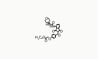 CCOC(=O)COc1ccc(C(=O)C2C(=O)c3cccc(NC(=O)NN4CCOCC4)c3C2=O)cc1